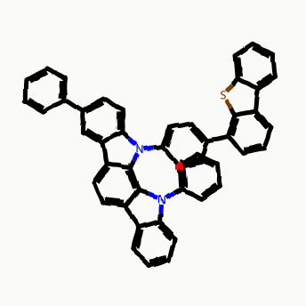 c1ccc(-c2ccc3c(c2)c2ccc4c5ccccc5n(-c5ccccc5)c4c2n3-c2ccc(-c3cccc4c3sc3ccccc34)cc2)cc1